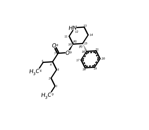 CCCCC(CC)C(=O)O[C@H]1CNCC[C@@H]1c1ccccc1